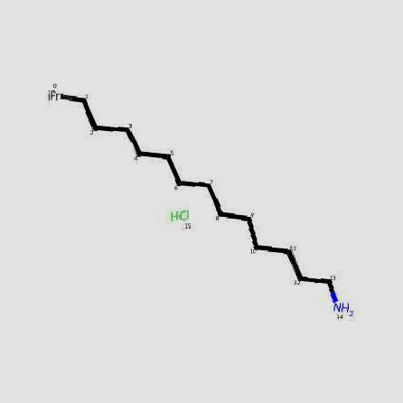 CC(C)CCCCCCCCCCCCCN.Cl